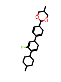 CC1CCC(C2=CCC(C3=CCC(C4OCC(C)CO4)C=C3)C=C2F)CC1